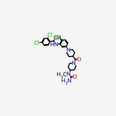 CC(Nc1cc(N2CCC(C(=O)N3CCC(N(C)C(N)=O)CC3)CC2)ccc1Cl)c1ccc(Cl)cc1Cl